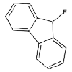 FC1c2ccccc2-c2ccccc21